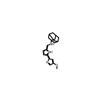 COC1=CC(=c2ccc(=CNC34CC5CC(CC(C5)C3)C4)[nH]2)N=C1